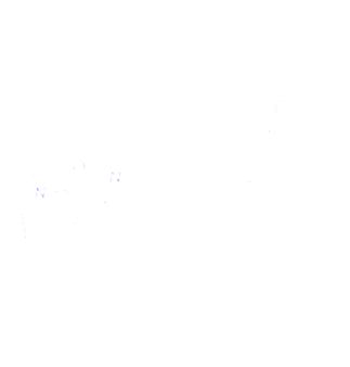 CN1CCCCC(c2ccc(C#Cc3cccc(F)c3)cn2)C1=O